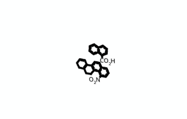 O=C(O)c1cccc2ccccc12.O=[N+]([O-])c1cccc2ccc3c(c12)CCC1=C3C=CCC1